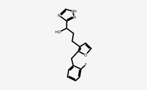 OC(CCc1ccoc1Cc1ccccc1F)c1nc[nH]n1